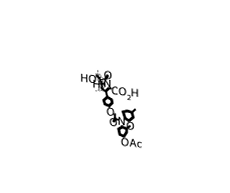 CC(=O)Oc1ccc2c(c1)Oc1cc(C)ccc1N2C(=O)COc1ccc(C2=C(C(=O)O)N3C(=O)[C@H]([C@@H](C)O)[C@H]3[C@H]2C)cc1